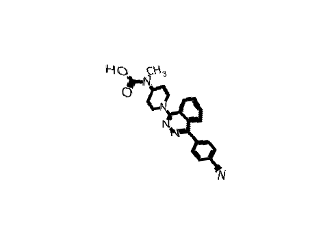 CN(C(=O)O)C1CCN(c2nnc(-c3ccc(C#N)cc3)c3ccccc23)CC1